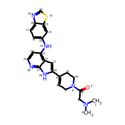 CN(C)CC(=O)N1CC=C(c2cc3c(Nc4ccc5ncsc5c4)ccnc3[nH]2)CC1